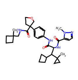 Cn1nccc1C(=O)N[C@H](C(=O)Nc1ccc(C2(C(=O)NCC3(C)CCC3)CCOC2)cc1)C(C1CCC1)C1(C)CC1